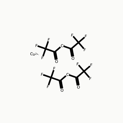 O=C([CH-]C(=O)C(F)(F)F)C(F)(F)F.O=C([CH-]C(=O)C(F)(F)F)C(F)(F)F.[Cu+2]